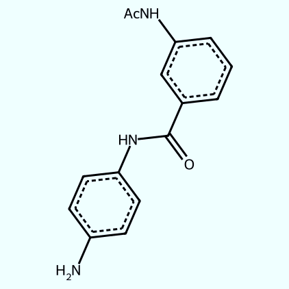 CC(=O)Nc1cccc(C(=O)Nc2ccc(N)cc2)c1